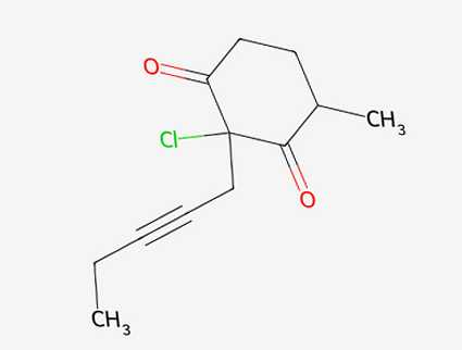 CCC#CCC1(Cl)C(=O)CCC(C)C1=O